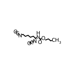 CCCCOC(=O)NC(CCCCCN=C=O)N=C=O